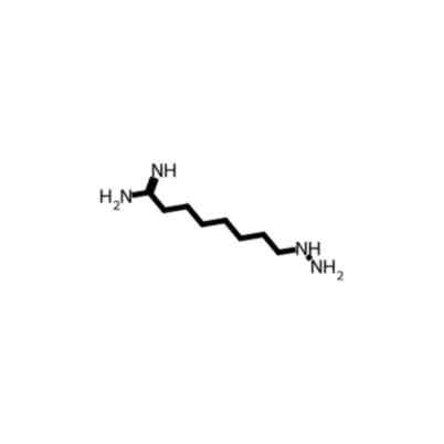 N=C(N)CCCCCCCNN